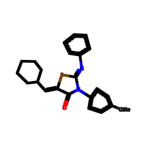 COc1ccc(N2C(=O)C(=CC3CCCCC3)SC2=Nc2ccccc2)cc1